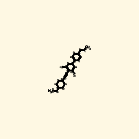 CCCc1ccc(-c2cc(F)c(C#CC3CCC(CC)CC3)c(F)c2)cc1